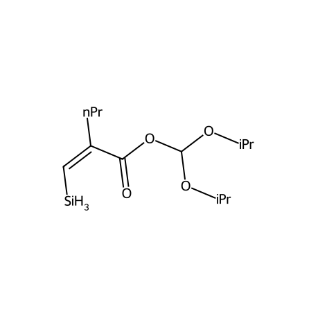 CCCC(=C[SiH3])C(=O)OC(OC(C)C)OC(C)C